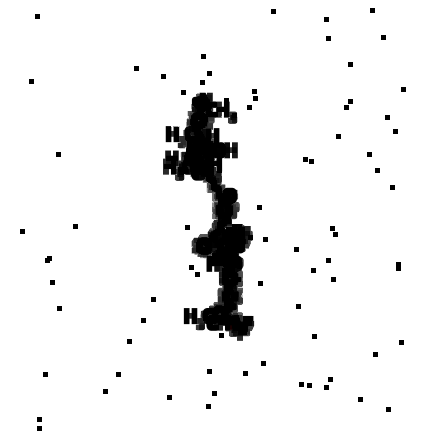 Cc1ncsc1-c1ccc([C@H](C)NC(=O)[C@@H]2C[C@@H](O)CN2C(=O)[C@@H](NC(=O)CCCCCCC(=O)N2CCN(CC[C@H](CSc3ccccc3)Nc3ccc(S(=O)(=O)NC(=O)c4ccc(N5CCN(CC6=C(C78CC(C(F)F)(C7)C8)CC(C)(C)CC6)CC5)cc4)cc3S(=O)(=O)C(F)(F)F)CC2)C(C)(C)C)cc1